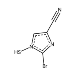 N#Cc1cn(S)c(Br)n1